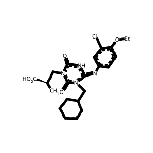 CCOc1ccc(/N=c2\[nH]c(=O)n(C[C@@H](C)C(=O)O)c(=O)n2CC2CCCCC2)cc1Cl